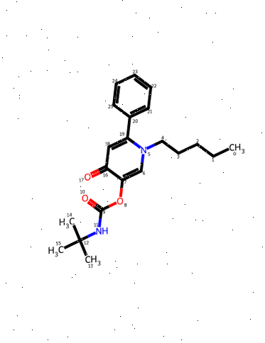 CCCCCn1cc(OC(=O)NC(C)(C)C)c(=O)cc1-c1ccccc1